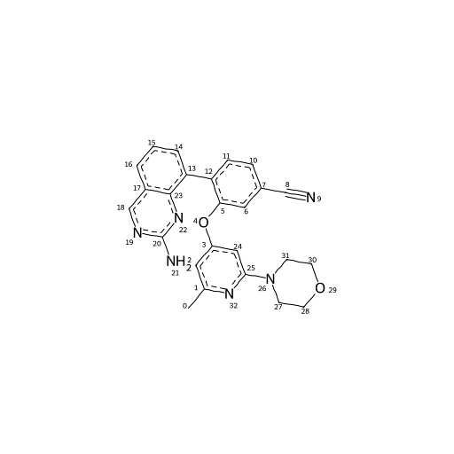 Cc1cc(Oc2cc(C#N)ccc2-c2cccc3cnc(N)nc23)cc(N2CCOCC2)n1